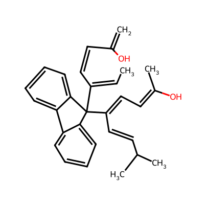 C=C(O)/C=C\C(=C/C)C1(C(/C=C/C(C)C)=C/C=C(\C)O)c2ccccc2-c2ccccc21